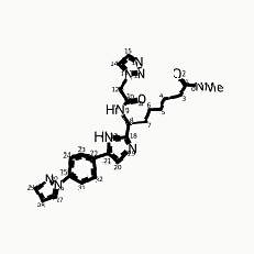 CNC(=O)CCCCC[C@H](NC(=O)Cn1ccnn1)c1ncc(-c2ccc(-n3cccn3)cc2)[nH]1